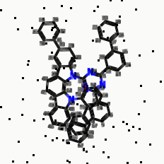 c1ccc(-c2cccc(-c3nc(-c4cccc(-c5ccccc5)c4)nc(-n4c5ccc(-c6ccccc6)cc5c5ccc6c7ccccc7n(-c7ccccc7-c7ccccc7)c6c54)n3)c2)cc1